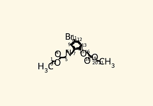 CCOC(=O)CN=Cc1cc(Br)ccc1OCC(=O)OCC